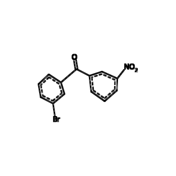 O=C(c1cccc(Br)c1)c1cccc([N+](=O)[O-])c1